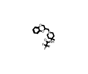 CC1(NC(=O)C(F)(F)F)CCN(CC2COc3ccccc3O2)CC1